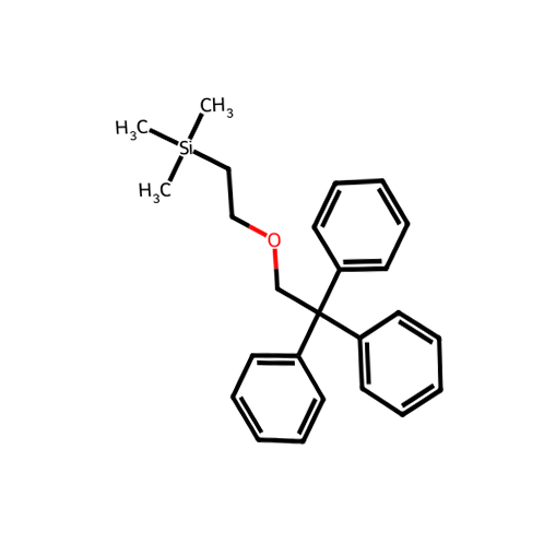 C[Si](C)(C)CCOCC(c1ccccc1)(c1ccccc1)c1ccccc1